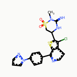 CN1C(=N)NC(c2sc3c(-c4ccc(-n5cccn5)cc4)nccc3c2Cl)CS1(=O)=O